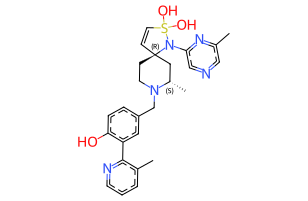 Cc1cncc(N2[C@]3(C=CS2(O)O)CCN(Cc2ccc(O)c(-c4ncccc4C)c2)[C@@H](C)C3)n1